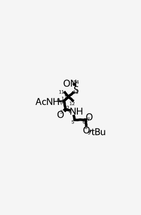 CC(=O)N[C@H](C(=O)NCC(=O)OC(C)(C)C)C(C)(C)SN=O